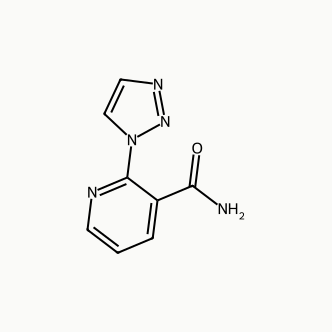 NC(=O)c1cccnc1-n1ccnn1